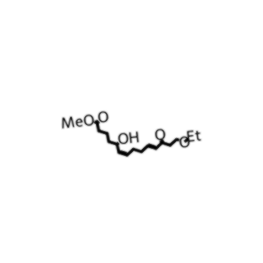 CCOCCC(=O)/C=C/CC/C=C\C(O)CCCC(=O)OC